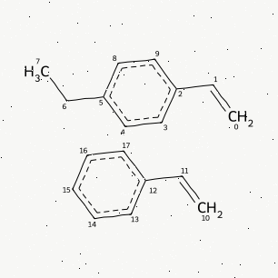 C=Cc1ccc(CC)cc1.C=Cc1ccccc1